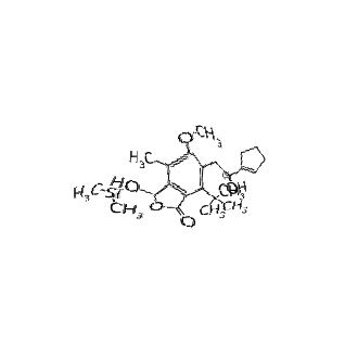 COc1c(C)c2c(c(C(C)(C)C)c1C[C@H](O)C1=CCCC1)C(=O)OC2O[SiH](C)C